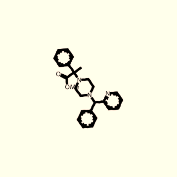 COC(=O)C(C)(c1ccccc1)N1CCN(C(c2ccccc2)c2ccccn2)CC1